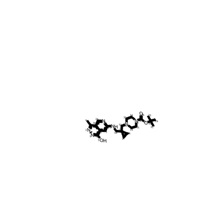 Cc1nnc(O)c2cc(NCC3(CN4CCN(C(=O)OC(C)(C)C)CC4)CC3)ncc12